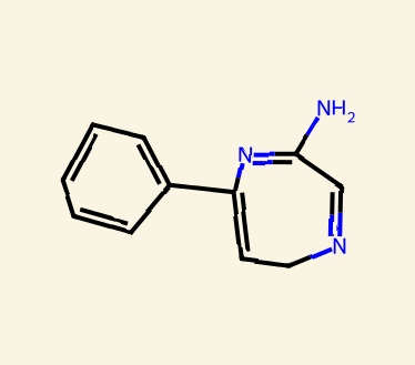 NC1=NC(c2ccccc2)=CCN=C1